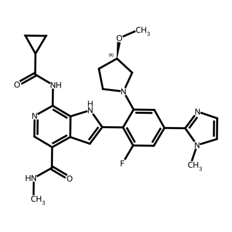 CNC(=O)c1cnc(NC(=O)C2CC2)c2[nH]c(-c3c(F)cc(-c4nccn4C)cc3N3CC[C@@H](OC)C3)cc12